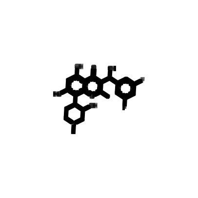 Cc1oc2c(C3CCN(C)CC3O)c(O)cc(O)c2c(=O)c1C(O)c1cc(F)cc(F)c1